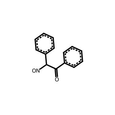 O=NC(C(=O)c1ccccc1)c1ccccc1